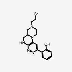 Oc1ccccc1-c1cc2c(nn1)NCC1CN(CCBr)CCN21